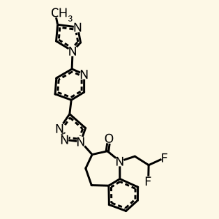 Cc1cn(-c2ccc(-c3cn(C4CCc5ccccc5N(CC(F)F)C4=O)nn3)cn2)cn1